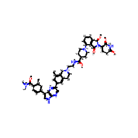 Cc1cc(-c2c[nH]c3ncc(-c4cc(C)c5c(c4)CCN(CCNC(=O)C4CCN(c6cccc7c6C(=O)N(C6CCC(=O)NC6=O)C7=O)CC4)C5)nc23)ccc1C(=O)N(C)C